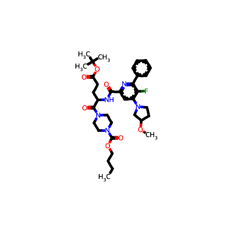 CCCCOC(=O)N1CCN(C(=O)C(CCC(=O)OC(C)(C)C)NC(=O)c2cc(N3CCC(OC)C3)c(F)c(-c3ccccc3)n2)CC1